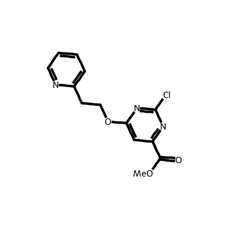 COC(=O)c1cc(OCCc2ccccn2)nc(Cl)n1